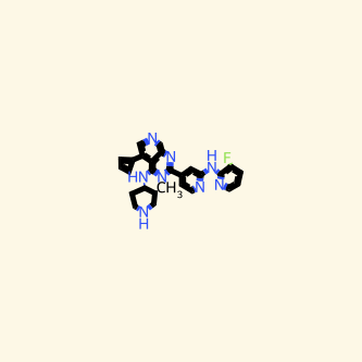 C[C@@H]1CNCC[C@@H]1Nc1nc(-c2ccnc(Nc3ncccc3F)c2)nc2cncc(C3=CC=C3)c12